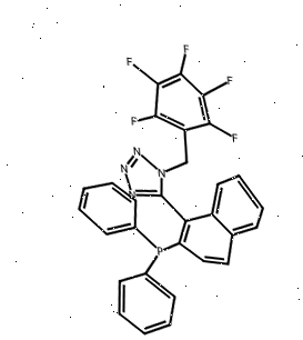 Fc1c(F)c(F)c(Cn2nnnc2-c2c(P(c3ccccc3)c3ccccc3)ccc3ccccc23)c(F)c1F